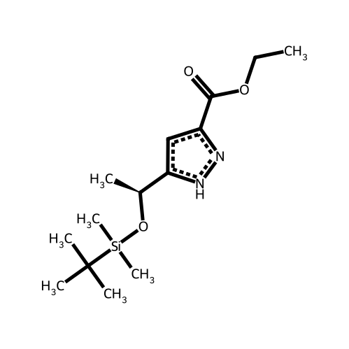 CCOC(=O)c1cc([C@H](C)O[Si](C)(C)C(C)(C)C)[nH]n1